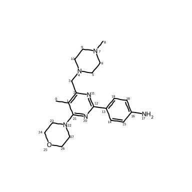 Cc1c(CN2CCN(C)CC2)nc(-c2ccc(N)cc2)nc1N1CCOCC1